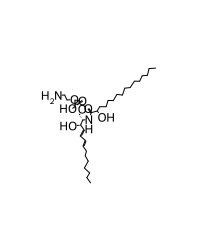 CCCCCCC/C=C/C=C/[C@@H](O)[C@H](COP(=O)(O)OCCN)NC(=O)C(O)CCCCCCCCCCCCCC